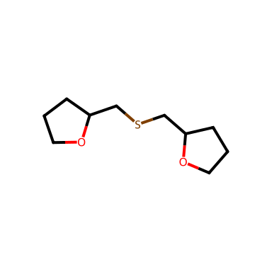 C1COC(CSCC2CCCO2)C1